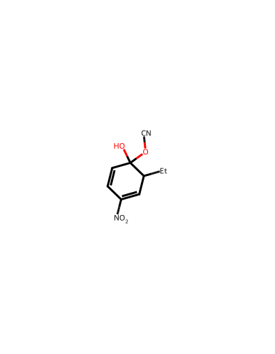 CCC1C=C([N+](=O)[O-])C=CC1(O)OC#N